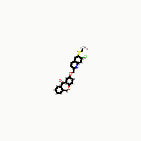 CCSc1cc2ccc(COc3ccc4c(c3)C(=O)c3ccccc3CO4)nc2cc1Cl